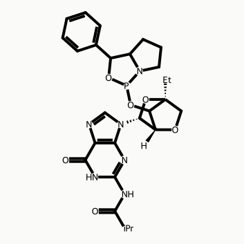 CC[C@]12CO[C@@H](C1OP1OC(c3ccccc3)C3CCCN31)[C@H](n1cnc3c(=O)[nH]c(NC(=O)C(C)C)nc31)O2